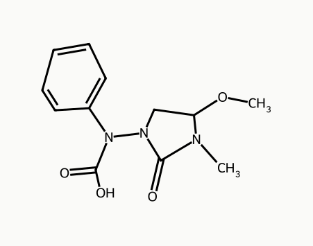 COC1CN(N(C(=O)O)c2ccccc2)C(=O)N1C